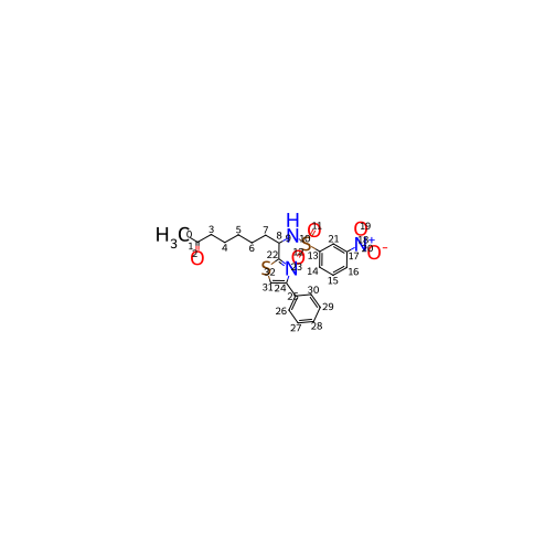 CC(=O)CCCCCC(NS(=O)(=O)c1cccc([N+](=O)[O-])c1)c1nc(-c2ccccc2)cs1